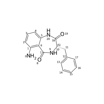 Nc1cccc2c1C(=O)N[C@@H](Cc1ccccc1)C(=O)N2